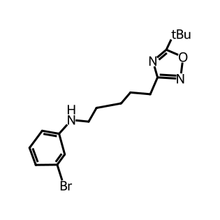 CC(C)(C)c1nc(CCCCCNc2cccc(Br)c2)no1